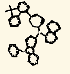 CC1(C)c2ccccc2-c2c(C3=CC#CC(N(c4ccc5c(c4)c4ccccc4n5-c4ccccc4)c4cccc5ccccc45)CC3)cccc21